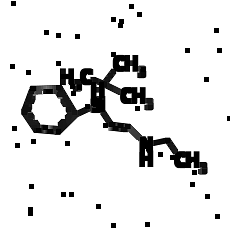 CCNC=C[SiH](c1ccccc1)C(C)(C)C